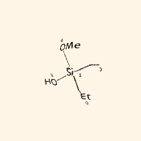 CC[Si](C)(O)OC